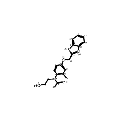 CC(=O)N(CCO)c1ccc(OCc2nc3ccccc3s2)cc1C